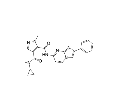 Cn1ncc(C(=O)NC2CC2)c1C(=O)Nc1ccn2cc(-c3ccccc3)nc2n1